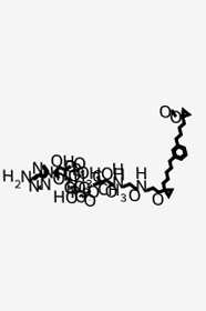 CC(C)(COP(=O)(O)OP(=O)(O)OCC1OC(n2cnc3c(N)ncnc32)C(O)C1OP(=O)(O)O)C(O)C(=O)NCCC(=O)NCCC(=O)C1(CCCCCc2cccc(CCCCC3(OC=O)CC3)c2)CC1